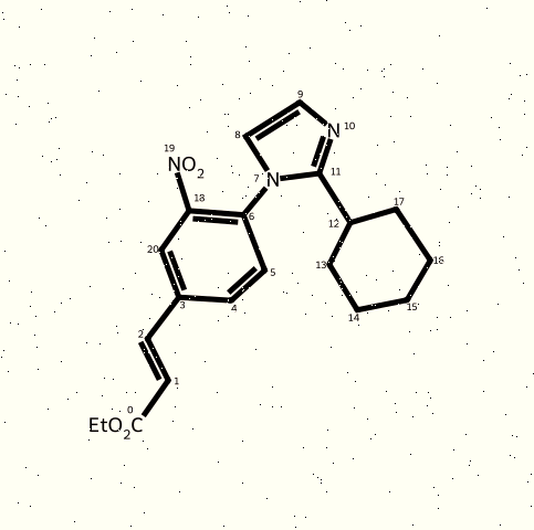 CCOC(=O)/C=C/c1ccc(-n2ccnc2C2CCCCC2)c([N+](=O)[O-])c1